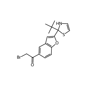 CC(C)(C)C1(c2cc3cc(C(=O)CBr)ccc3o2)NC=CS1